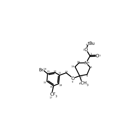 CC(C)(C)OC(=O)N1CCC(C)(OCc2cc(Br)cc(C(F)(F)F)c2)CC1